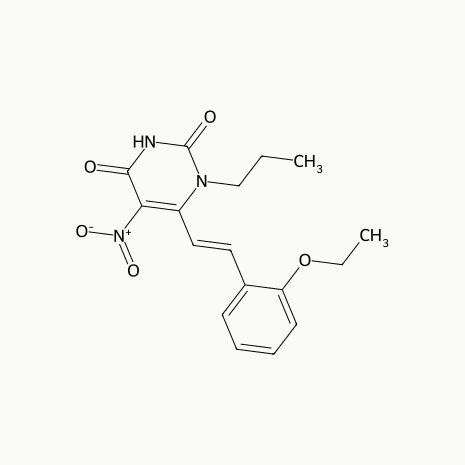 CCCn1c(/C=C/c2ccccc2OCC)c([N+](=O)[O-])c(=O)[nH]c1=O